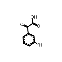 [2H]c1cccc(C(=O)C(=O)O)c1